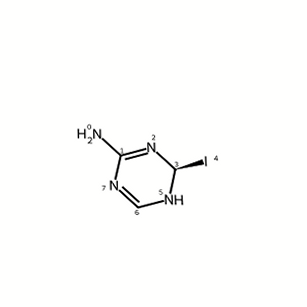 NC1=N[C@@H](I)NC=N1